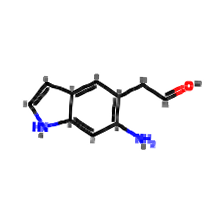 Nc1cc2[nH]ccc2cc1CC=O